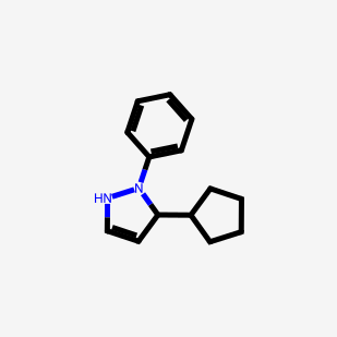 C1=CC(C2CCCC2)N(c2ccccc2)N1